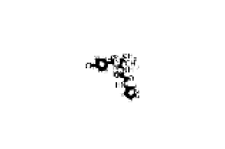 CC(C)(C)C(NC(=O)C(=O)Nc1cccnc1)NC(=O)c1ccc(Cl)cc1